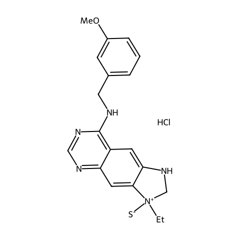 CC[N+]1([S-])CNc2cc3c(NCc4cccc(OC)c4)ncnc3cc21.Cl